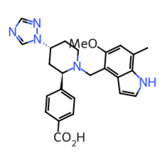 COc1cc(C)c2[nH]ccc2c1CN1CC[C@@H](n2cncn2)C[C@@H]1c1ccc(C(=O)O)cc1